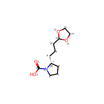 O=C(O)N1CCC[C@H]1CCCC1OCCO1